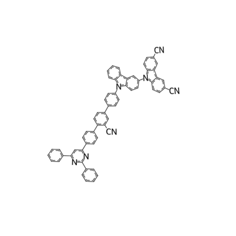 N#Cc1ccc2c(c1)c1cc(C#N)ccc1n2-c1ccc2c(c1)c1ccccc1n2-c1ccc(-c2ccc(-c3ccc(-c4cc(-c5ccccc5)nc(-c5ccccc5)n4)cc3)c(C#N)c2)cc1